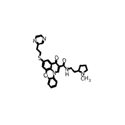 CN1CCCC1CCNC(=O)c1cn2c3c(cc(SCCc4cnccn4)cc3c1=O)Oc1ccccc1-2